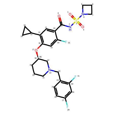 O=C(NS(=O)(=O)N1CCC1)c1cc(C2CC2)c(O[C@@H]2CCCN(Cc3ccc(F)cc3F)C2)cc1F